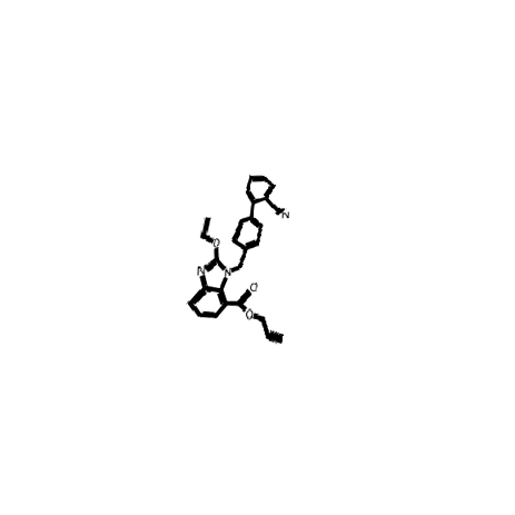 C=CCOC(=O)c1cccc2nc(OCC)n(Cc3ccc(-c4ccccc4C#N)cc3)c12